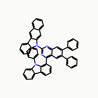 c1ccc(-c2cc3nc(-n4c5ccccc5c5cc6ccccc6cc54)nc(-c4cccc5c6ccccc6n(-c6ccccc6)c45)c3cc2-c2ccccc2)cc1